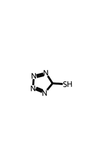 SC1N=NN=N1